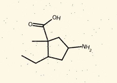 CCC1CC(N)CC1(C)C(=O)O